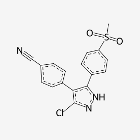 CS(=O)(=O)c1ccc(-c2[nH]nc(Cl)c2-c2ccc(C#N)cc2)cc1